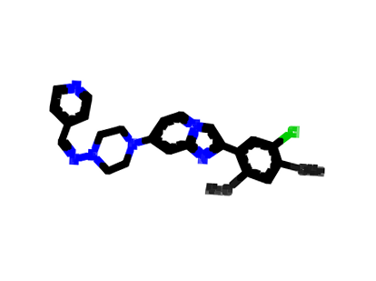 COc1cc(OC)c(-c2cn3ccc(N4CCN(/N=C\c5ccncc5)CC4)cc3n2)cc1Cl